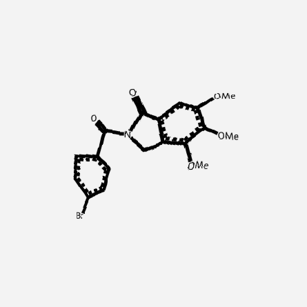 COc1cc2c(c(OC)c1OC)CN(C(=O)c1ccc(Br)cc1)C2=O